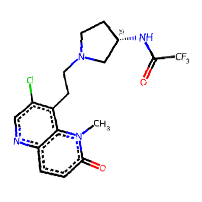 Cn1c(=O)ccc2ncc(Cl)c(CCN3CC[C@H](NC(=O)C(F)(F)F)C3)c21